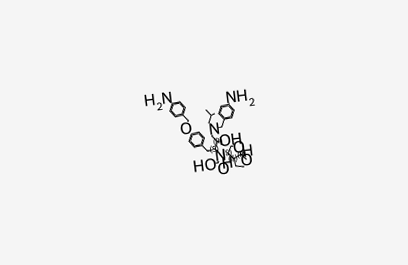 CC(C)CN(Cc1ccc(N)cc1)C[C@@H](O)[C@H](Cc1ccc(OCc2ccc(N)cc2)cc1)N(C(=O)O)[C@@H]1CO[C@H]2OCC[C@H]21